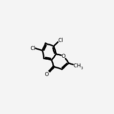 Cc1cc(=O)c2cc(Cl)cc(Cl)c2o1